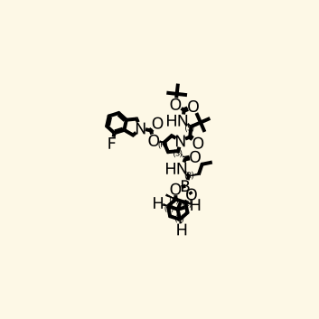 CCC[C@H](NC(=O)[C@@H]1C[C@@H](OC(=O)N2Cc3cccc(F)c3C2)CN1C(=O)[C@@H](NC(=O)OC(C)(C)C)C(C)(C)C)B1O[C@@H]2C[C@@H]3C[C@@H](C3(C)C)[C@]2(C)O1